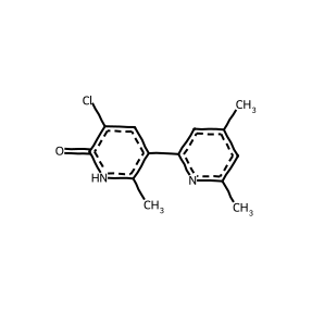 Cc1cc(C)nc(-c2cc(Cl)c(=O)[nH]c2C)c1